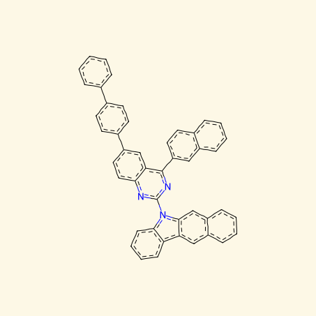 c1ccc(-c2ccc(-c3ccc4nc(-n5c6ccccc6c6cc7ccccc7cc65)nc(-c5ccc6ccccc6c5)c4c3)cc2)cc1